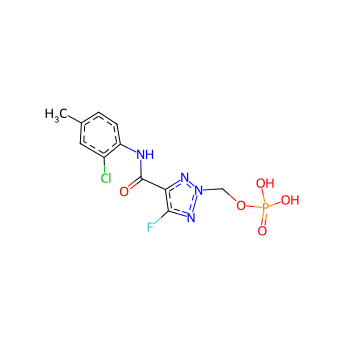 Cc1ccc(NC(=O)c2nn(COP(=O)(O)O)nc2F)c(Cl)c1